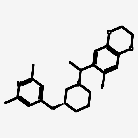 Cc1cc(C[C@H]2CCCN(C(C)c3cc4c(cc3F)OCCO4)C2)cc(C)n1